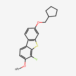 CCCOc1ccc2c(sc3cc(OCC4CCCC4)ccc32)c1F